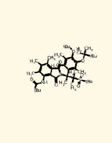 Cc1c(C)c(NC(=O)C(C)(C)C)c2c(c1C)C(=O)N(C(C)(c1c(C)c(C)c(OC(C)(C)C)c(OC(C)(C)C(C)(C)C)c1C)C(C)(C)S(=O)(=O)C(C)(C)C)C2=O